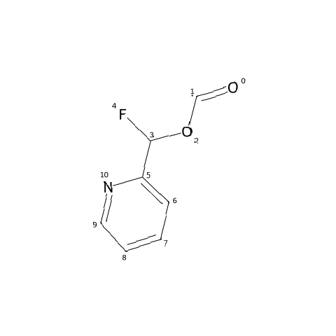 O=[C]OC(F)c1ccccn1